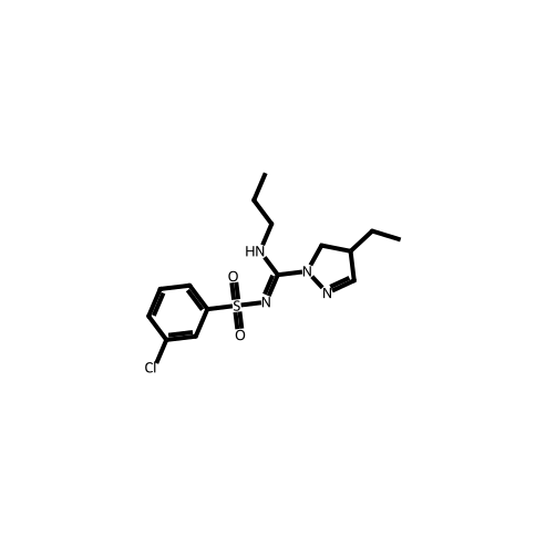 CCCN/C(=N\S(=O)(=O)c1cccc(Cl)c1)N1CC(CC)C=N1